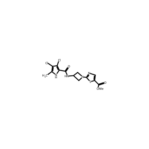 COC(=O)c1cnc(N2CC(NC(=O)c3[nH]c(C)c(Cl)c3Cl)C2)s1